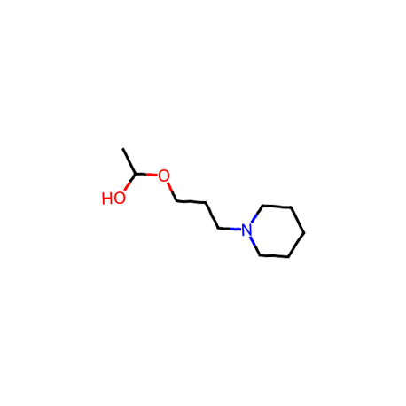 CC(O)OCCCN1CCCCC1